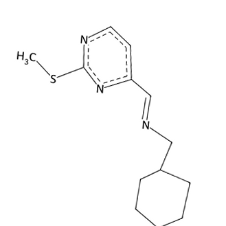 CSc1nccc(C=NCC2CCCCC2)n1